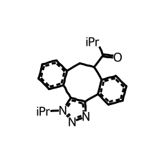 CC(C)C(=O)C1Cc2ccccc2-c2c(nnn2C(C)C)-c2ccccc21